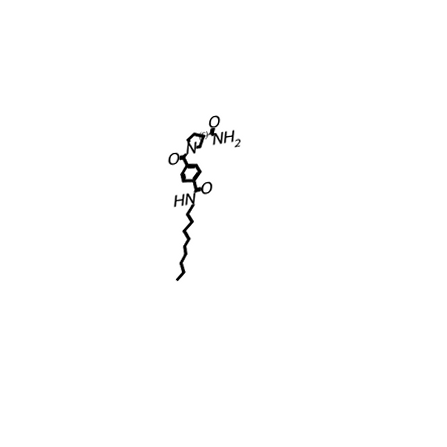 CCCCCCCCCCNC(=O)c1ccc(C(=O)N2CC[C@H](C(N)=O)C2)cc1